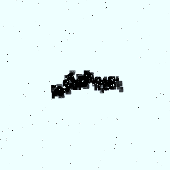 C[Si](C)(C)CCOCn1cnc2cc([C@H](NC(=O)CC3CC(F)(F)C3)C3CC3)ccc21